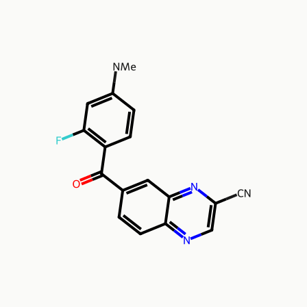 CNc1ccc(C(=O)c2ccc3ncc(C#N)nc3c2)c(F)c1